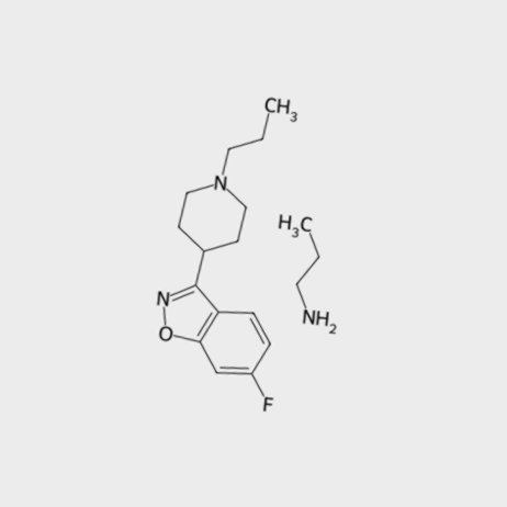 CCCN.CCCN1CCC(c2noc3cc(F)ccc23)CC1